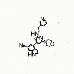 N#Cc1cc(-c2cc(N3CCOCC3)nc(NCCc3cccnc3)n2)c2cc[nH]c2c1